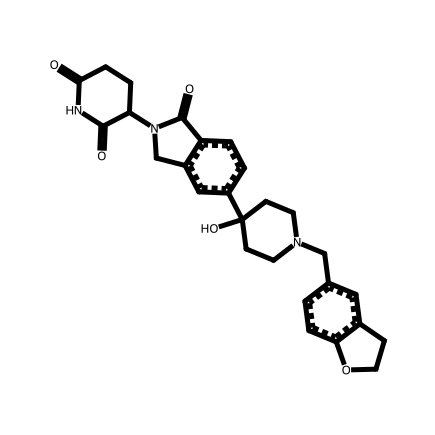 O=C1CCC(N2Cc3cc(C4(O)CCN(Cc5ccc6c(c5)CCO6)CC4)ccc3C2=O)C(=O)N1